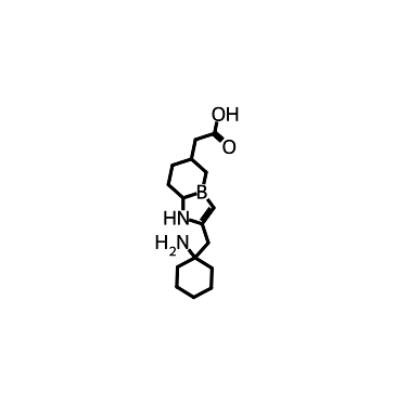 NC1(CC2=CB3CC(CC(=O)O)CCC3N2)CCCCC1